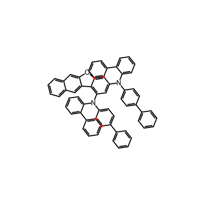 c1ccc(-c2ccc(N(c3cc(N(c4ccc(-c5ccccc5)cc4)c4ccccc4-c4ccccc4)c4c(c3)oc3cc5ccccc5cc34)c3ccccc3-c3ccccc3)cc2)cc1